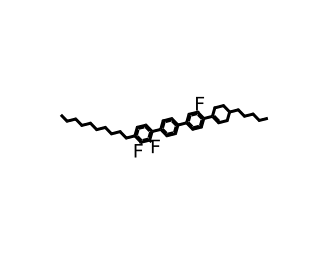 CCCCCCCCCCc1ccc(-c2ccc(-c3ccc(C4=CCC(CCCCC)CC4)c(F)c3)cc2)c(F)c1F